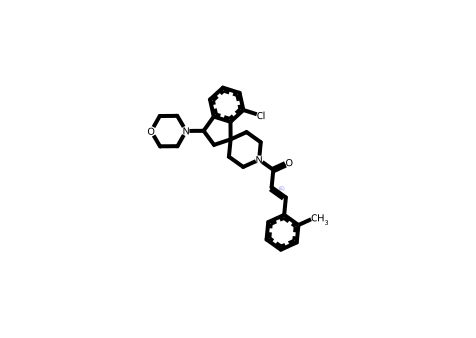 Cc1ccccc1/C=C/C(=O)N1CCC2(CC1)CC(N1CCOCC1)c1cccc(Cl)c12